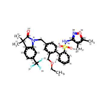 CCOCc1cc(CN2C(=O)C(C)(C)c3ccc(C(F)(F)F)cc32)ccc1-c1ccccc1S(=O)(=O)Nc1noc(C)c1C